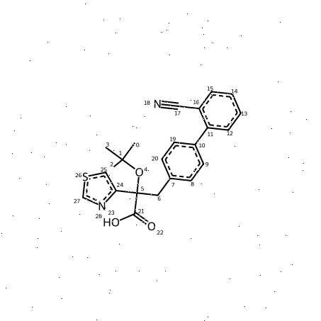 CC(C)(C)OC(Cc1ccc(-c2ccccc2C#N)cc1)(C(=O)O)c1cscn1